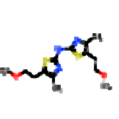 Cc1nc(Nc2nc(C)c(CCO[N+](=O)[O-])s2)sc1CCO[N+](=O)[O-]